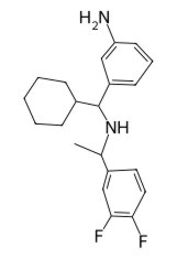 CC(NC(c1cccc(N)c1)C1CCCCC1)c1ccc(F)c(F)c1